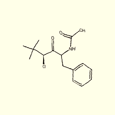 CC(C)(C)[C@H](Cl)C(=O)C(Cc1ccccc1)NC(=O)O